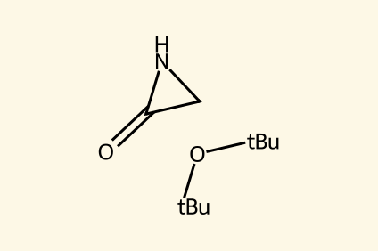 CC(C)(C)OC(C)(C)C.O=C1CN1